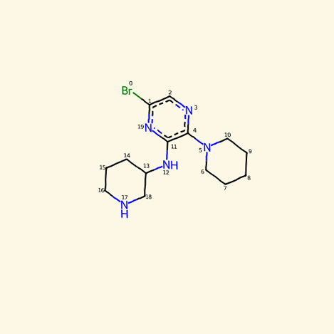 Brc1cnc(N2CCCCC2)c(NC2CCCNC2)n1